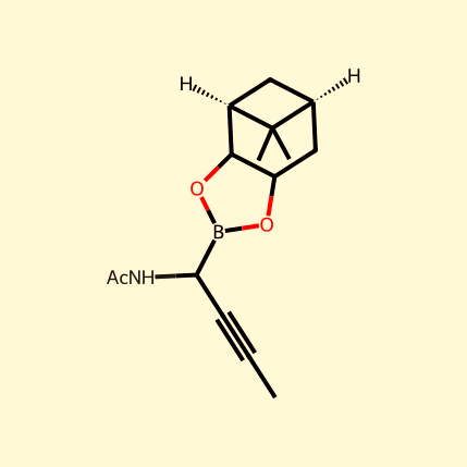 CC#CC(NC(C)=O)B1OC2C[C@@H]3C[C@H](C2O1)C3(C)C